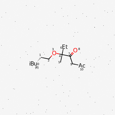 CC[C@@H](C)CCOC(C)(CC)C(=O)CC(C)=O